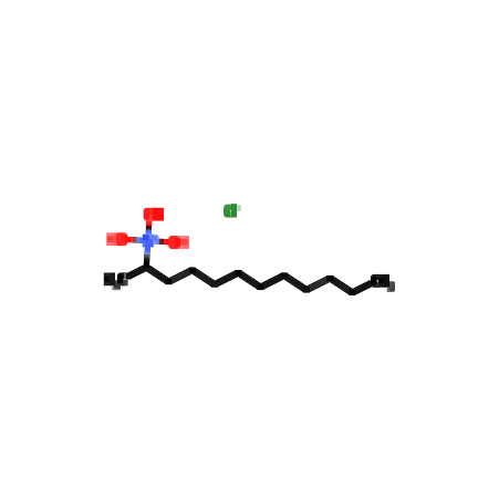 CCCCCCCCCCC(C)[N+](O)(O)O.[Cl-]